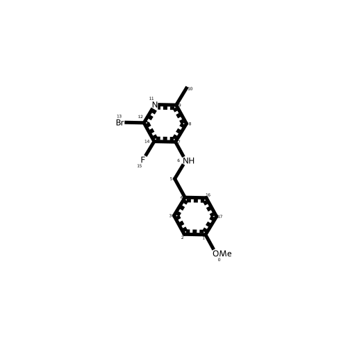 COc1ccc(CNc2cc(C)nc(Br)c2F)cc1